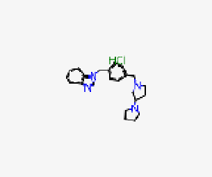 Cl.c1ccc2c(c1)ncn2Cc1ccc(CN2CCC(N3CCCC3)C2)cc1